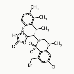 Cc1ccc(F)c(C(C)[C@@H](c2n[nH]c(=O)o2)N2CN(C)c3cc(Cl)cc(CBr)c3S2(=O)=O)c1C